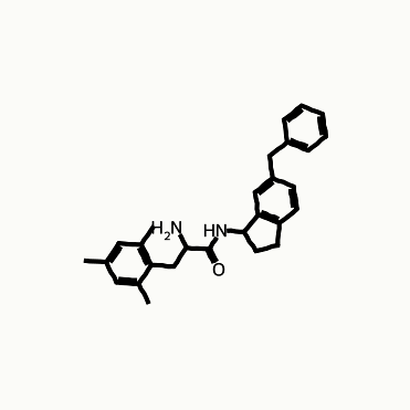 Cc1cc(C)c(CC(N)C(=O)NC2CCc3ccc(Cc4ccccc4)cc32)c(C)c1